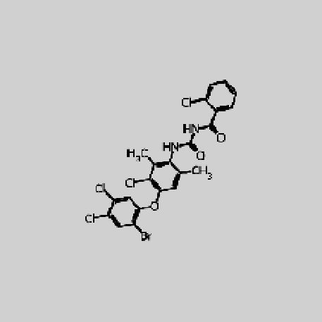 Cc1cc(Oc2cc(Cl)c(Cl)cc2Br)c(Cl)c(C)c1NC(=O)NC(=O)c1ccccc1Cl